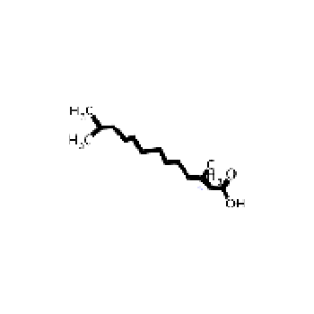 C/C(=C\C(=O)O)CCCCCCCCC(C)C